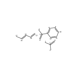 C=C(C)C.C=C(C)c1ccccc1.C=CC=CC